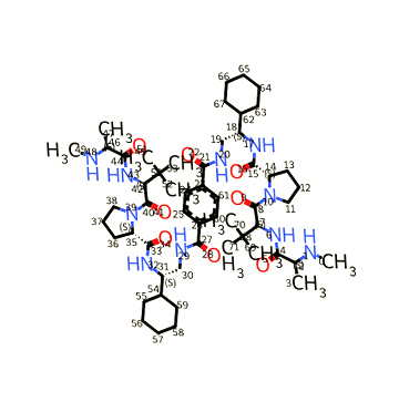 CN[C@@H](C)C(=O)N[C@H](C(=O)N1CCC[C@H]1C(=O)N[C@H](CNC(=O)c1ccc(C(=O)NC[C@@H](NC(=O)[C@@H]2CCCN2C(=O)[C@@H](NC(=O)[C@H](C)NC)C(C)(C)C)C2CCCCC2)cc1)C1CCCCC1)C(C)(C)C